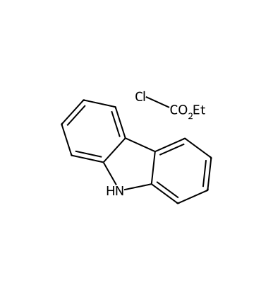 CCOC(=O)Cl.c1ccc2c(c1)[nH]c1ccccc12